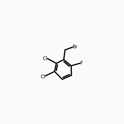 Fc1ccc(Cl)c(Cl)c1CBr